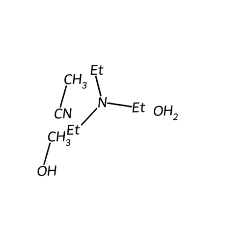 CC#N.CCN(CC)CC.CO.O